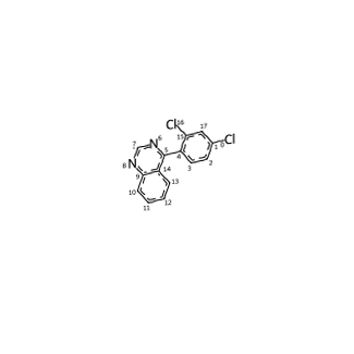 Clc1ccc(-c2n[c]nc3ccccc23)c(Cl)c1